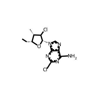 CC[C@H]1O[C@@H](n2cnc3c(N)nc(Cl)nc32)C(Cl)[C@H]1C